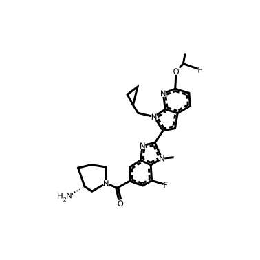 CC(F)Oc1ccc2cc(-c3nc4cc(C(=O)N5CCC[C@@H](N)C5)cc(F)c4n3C)n(CC3CC3)c2n1